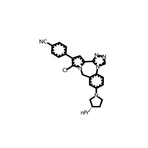 CCC[C@H]1CCN(c2ccc3c(c2)Cn2c(cc(-c4ccc(C#N)cc4)c2Cl)-c2nncn2-3)C1